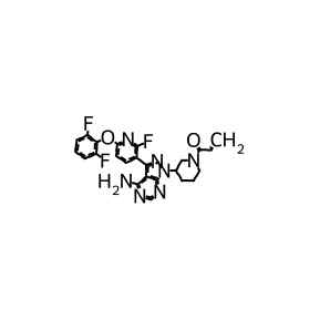 C=CC(=O)N1CCCC(n2nc(-c3ccc(Oc4c(F)cccc4F)nc3F)c3c(N)ncnc32)C1